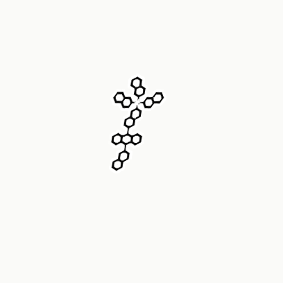 c1ccc2cc(-c3c4ccccc4c(-c4ccc5cc([Si](c6ccc7ccccc7c6)(c6ccc7ccccc7c6)c6ccc7ccccc7c6)ccc5c4)c4ccccc34)ccc2c1